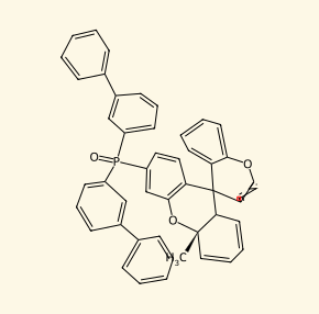 C[C@]12C=CC=CC1C1(c3ccccc3Oc3ccccc31)c1ccc(P(=O)(c3cccc(-c4ccccc4)c3)c3cccc(-c4ccccc4)c3)cc1O2